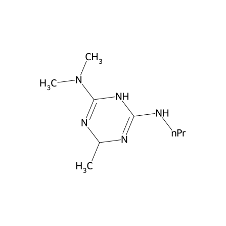 CCCNC1=NC(C)N=C(N(C)C)N1